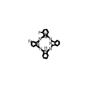 Fc1cccc2c3nc4nc(nc5[nH]c(nc6nc(nc([nH]3)c12)-c1ccccc1-6)c1ccccc51)-c1ccccc1-4.[Fe]